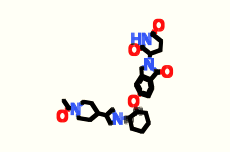 CC(=O)N1CCC(C2CN([C@@H]3CCCC[C@@H]3Oc3ccc4c(c3)CN(C3CCC(=O)NC3=O)C4=O)C2)CC1